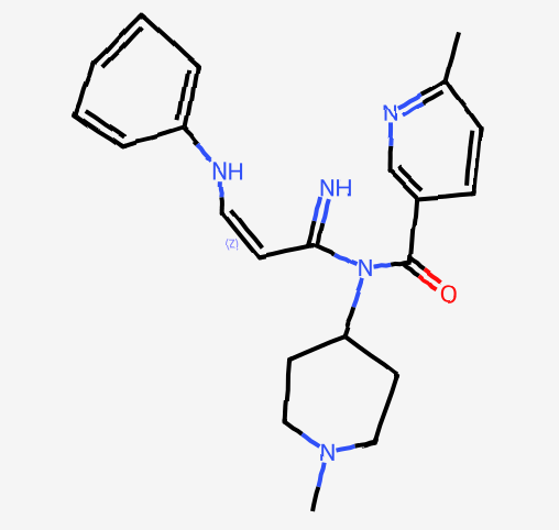 Cc1ccc(C(=O)N(C(=N)/C=C\Nc2ccccc2)C2CCN(C)CC2)cn1